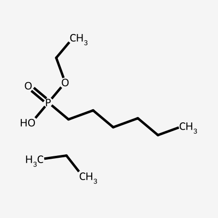 CCC.CCCCCCP(=O)(O)OCC